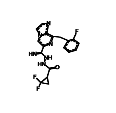 N=C(NNC(=O)C1CC1(F)F)c1cn2ccnc2c(Cc2ccccc2F)n1